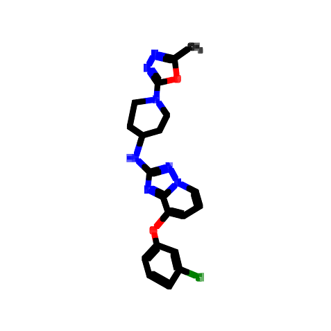 Cc1nnc(N2CCC(Nc3nc4c(Oc5cccc(Cl)c5)cccn4n3)CC2)o1